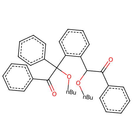 CCCCOC(C(=O)c1ccccc1)c1ccccc1C(OCCCC)(C(=O)c1ccccc1)c1ccccc1